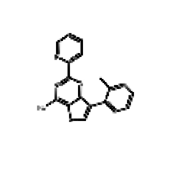 Cc1ccccc1-c1csc2c(O)nc(-c3ccccn3)nc12